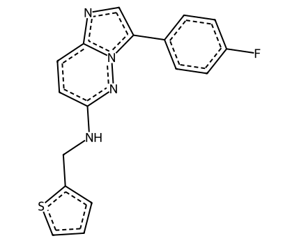 Fc1ccc(-c2cnc3ccc(NCc4cccs4)nn23)cc1